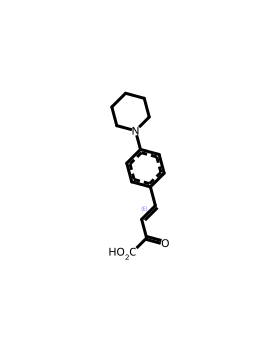 O=C(O)C(=O)/C=C/c1ccc(N2CCCCC2)cc1